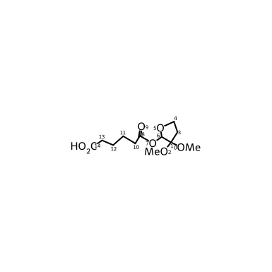 COC1(OC)CCOC1OC(=O)CCCCC(=O)O